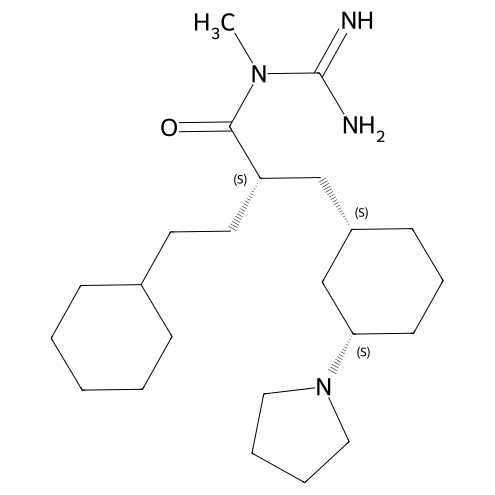 CN(C(=N)N)C(=O)[C@@H](CCC1CCCCC1)C[C@@H]1CCC[C@H](N2CCCC2)C1